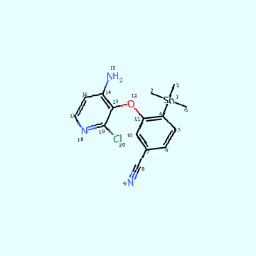 [CH3][Sn]([CH3])([CH3])[c]1ccc(C#N)cc1Oc1c(N)ccnc1Cl